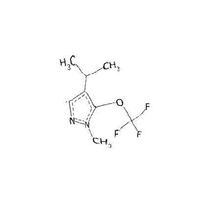 CC(C)c1[c]nn(C)c1OC(F)(F)F